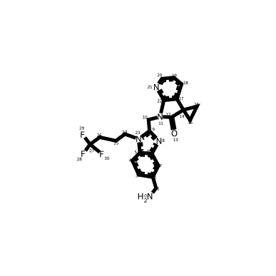 NCc1ccc2c(c1)nc(CN1C(=O)C3(CC3)c3cccnc31)n2CCCC(F)(F)F